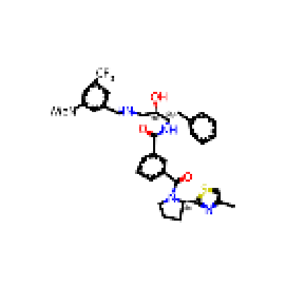 CNc1cc(CNC[C@@H](O)[C@H](Cc2ccccc2)NC(=O)c2cccc(C(=O)N3CCC[C@@H]3c3nc(C)cs3)c2)cc(C(F)(F)F)c1